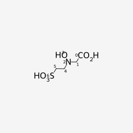 O=C(O)CN(O)CCS(=O)(=O)O